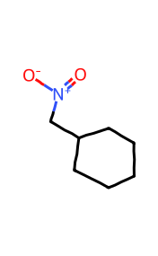 O=[N+]([O-])CC1CCCCC1